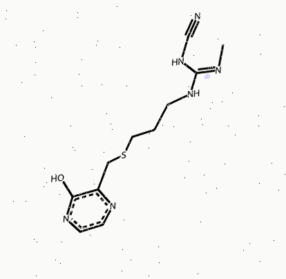 C/N=C(\NC#N)NCCCSCc1nccnc1O